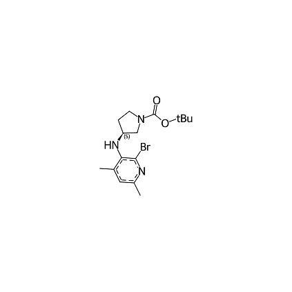 Cc1cc(C)c(N[C@H]2CCN(C(=O)OC(C)(C)C)C2)c(Br)n1